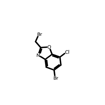 Clc1cc(Br)cc2nc(CBr)oc12